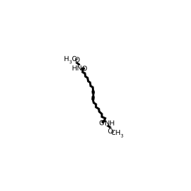 COCCNC(=O)CCCCCCCCC#CC#CCCCCCCCCC(=O)NCCOC